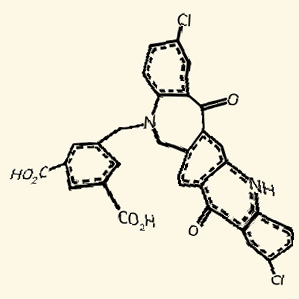 O=C(O)c1cc(CN2Cc3cc4c(=O)c5cc(Cl)ccc5[nH]c4cc3C(=O)c3cc(Cl)ccc32)cc(C(=O)O)c1